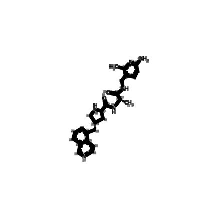 Cc1nc(N)ccc1CNC(=O)[C@H](C)NC(=O)C1C[C@H](Cc2cccc3cnccc23)CN1